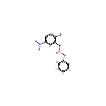 CN(C)c1ccc(Br)c(COCc2ccccc2)c1